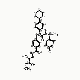 COC(=O)[C@H](O)CNC(=O)c1ccc(CN(C(=O)N[C@@H](C)c2ccc(Cl)cc2)c2ccc(C3CCCCC3)cc2)cc1